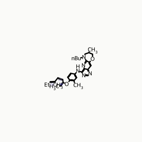 C\C=C(/C=C\C(C)=C\CC)Oc1ccc(Nc2ncnc3cc4c(nc23)N(CCCC)CC(C)CO4)cc1C